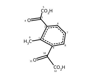 Cc1c(C(=O)C(=O)O)cccc1C(=O)C(=O)O